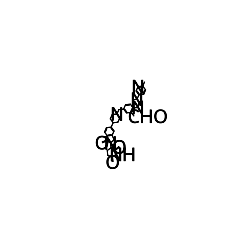 Cc1ccc(N(C)/C=N\c2ccc(CN3CCC(c4ccc5c(c4)CN(C4CCC(=O)NC4=O)C5=O)CC3)cc2C=O)cn1